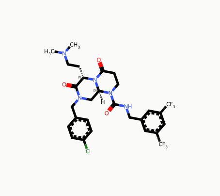 CN(C)CC[C@H]1C(=O)N(Cc2ccc(Cl)cc2)C[C@@H]2N(C(=O)NCc3cc(C(F)(F)F)cc(C(F)(F)F)c3)CCC(=O)N21